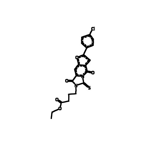 CCOC(=O)CCCN1C(=O)c2cc3oc(-c4ccc(Cl)cc4)cc3c(=O)n2C1=S